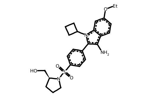 CCOc1ccc2c(N)c(-c3ccc(S(=O)(=O)N4CCC[C@H]4CO)cc3)n(C3CCC3)c2c1